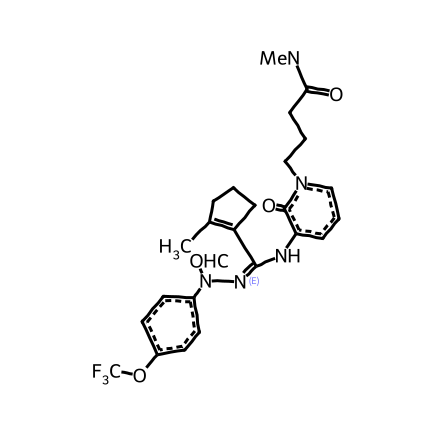 CNC(=O)CCCn1cccc(N/C(=N/N(C=O)c2ccc(OC(F)(F)F)cc2)C2=C(C)CCC2)c1=O